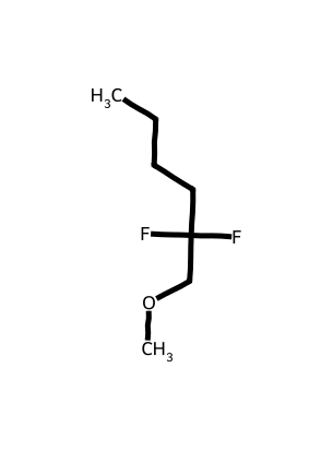 CCCCC(F)(F)COC